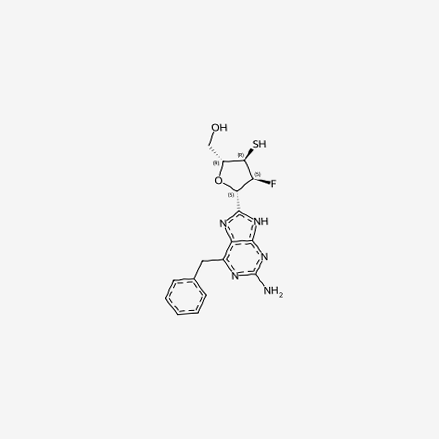 Nc1nc(Cc2ccccc2)c2nc([C@@H]3O[C@H](CO)[C@@H](S)[C@H]3F)[nH]c2n1